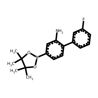 CC1(C)OB(c2ccc(-c3cccc(F)c3)c(N)c2)OC1(C)C